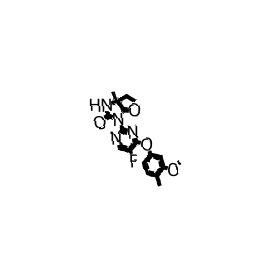 CC[C@@]1(C)NC(=O)N(c2ncc(F)c(Oc3ccc(C)c(OC)c3)n2)C1=O